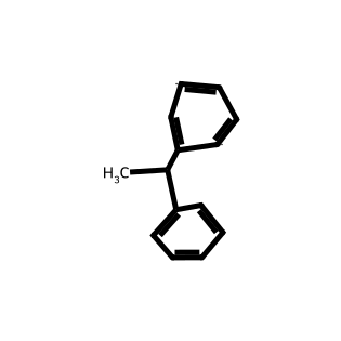 CC(c1[c]cc[c]c1)c1ccccc1